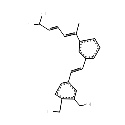 CCCCC(O)C=CC=C(C)c1cccc(C=Cc2ccc(CO)c(CO)c2)c1